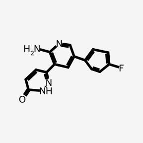 Nc1ncc(-c2ccc(F)cc2)cc1-c1ccc(=O)[nH]n1